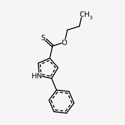 CCCOC(=S)c1c[nH]c(-c2ccccc2)c1